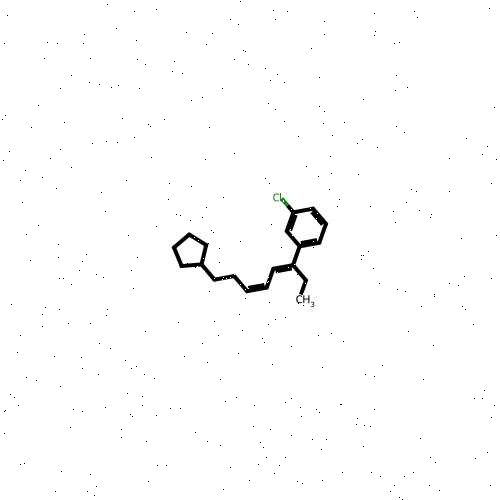 CC/C(=C\C=C/CCC1CCCC1)c1cccc(Cl)c1